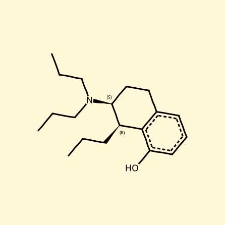 CCC[C@@H]1c2c(O)cccc2CC[C@@H]1N(CCC)CCC